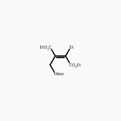 CCCCCCCCCCC(C(=O)OCC)=C(CC)C(=O)OCC